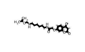 C=C(C)OCNCCCCCCNC(=O)COc1ccc2c(c1)OC(=O)CC2=O